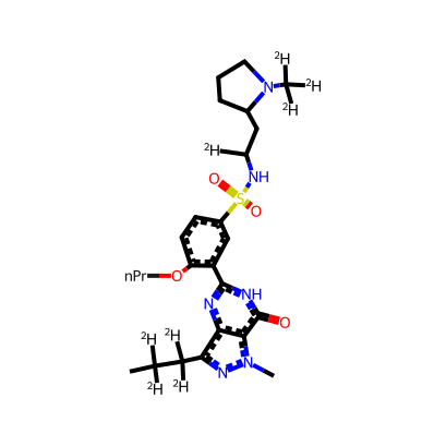 [2H]C(CC1CCCN1C([2H])([2H])[2H])NS(=O)(=O)c1ccc(OCCC)c(-c2nc3c(C([2H])([2H])C([2H])([2H])C)nn(C)c3c(=O)[nH]2)c1